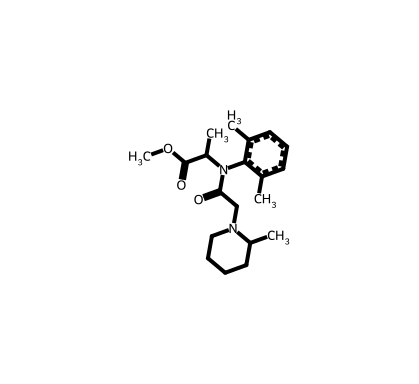 COC(=O)C(C)N(C(=O)CN1CCCCC1C)c1c(C)cccc1C